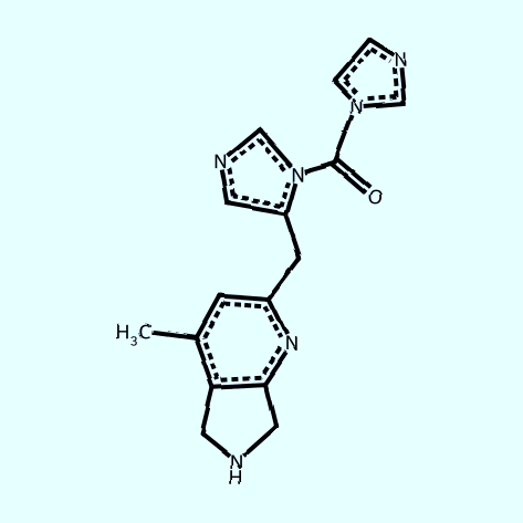 Cc1cc(Cc2cncn2C(=O)n2ccnc2)nc2c1CNC2